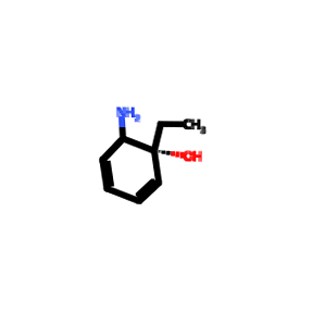 CC[C@@]1(O)C=CC=CC1N